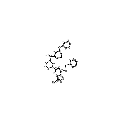 O=C(c1cccc(Oc2ccccc2)c1)N1CCCC(c2cc(CCc3cccnc3)n3ncc(Br)c3n2)C1